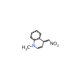 CN1C=CC(=C[N+](=O)[O-])c2ccccc21